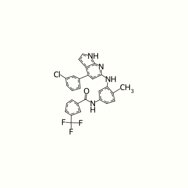 Cc1ccc(NC(=O)c2cccc(C(F)(F)F)c2)cc1Nc1cc(-c2cccc(Cl)c2)c2cc[nH]c2n1